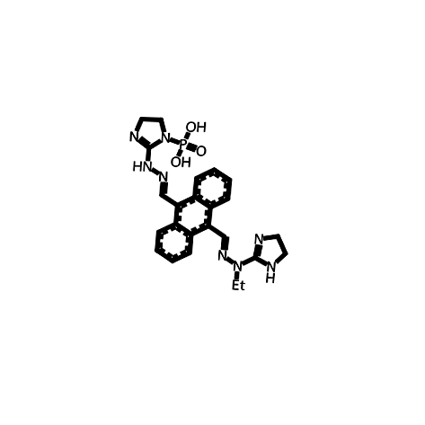 CCN(/N=C/c1c2ccccc2c(/C=N/NC2=NCCN2P(=O)(O)O)c2ccccc12)C1=NCCN1